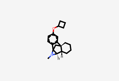 CN1[C@@H]2[C@H]3CCCC[C@]34CC21c1ccc(OC2CCC2)cc14